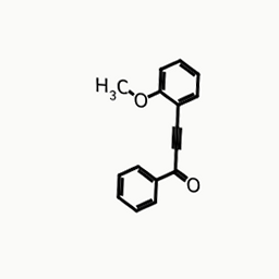 COc1ccccc1C#CC(=O)c1ccccc1